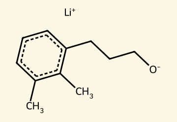 Cc1cccc(CCC[O-])c1C.[Li+]